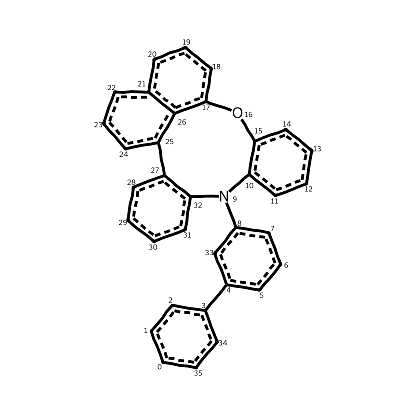 c1ccc(-c2cccc(N3c4ccccc4Oc4cccc5cccc(c45)-c4ccccc43)c2)cc1